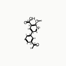 COc1ncc(-c2cccc(C(C)=O)c2)cc1C(=O)O